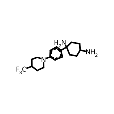 NC1CCC(N)(c2ccc(N3CCC(C(F)(F)F)CC3)cc2)CC1